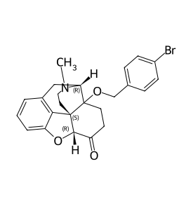 CN1CC[C@]23c4c5cccc4O[C@H]2C(=O)CCC3(OCc2ccc(Br)cc2)[C@H]1C5